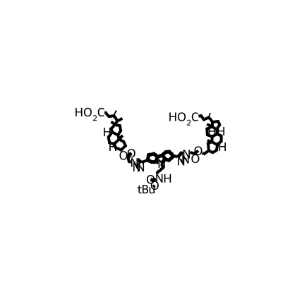 CC([C@H](C)CCC(=O)O)C1(C)CCC2[C@@H](CC[C@@H]3C[C@H](OC(=O)Cn4cc(-c5ccc6c7ccc(-c8cn(CC(=O)OCC9CC[C@H]%10CC[C@@H]%11C(CCC%12(C)C([C@H](C)CCC(=O)O)CC[C@@H]%11%12)C%10(C)C9)nn8)cc7n(CCNC(=O)OC(C)(C)C)c6c5)nn4)CCC23C)C1